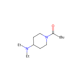 CCN(CC)C1CCN(C(=O)C(C)(C)C)CC1